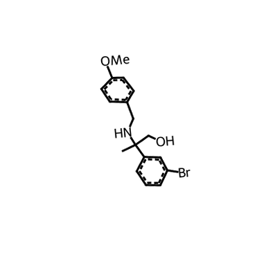 COc1ccc(CNC(C)(CO)c2cccc(Br)c2)cc1